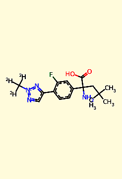 [2H]C([2H])([2H])n1ncc(-c2ccc(C(N)(CC(C)(C)C)C(=O)O)cc2F)n1